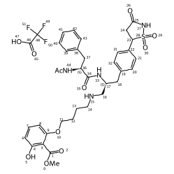 COC(=O)c1c(O)cccc1OCCCCNC[C@H](Cc1ccc(C2CC(=O)NS2(=O)=O)cc1)NC(=O)[C@H](Cc1ccccc1)NC(C)=O.O=C(O)C(F)(F)F